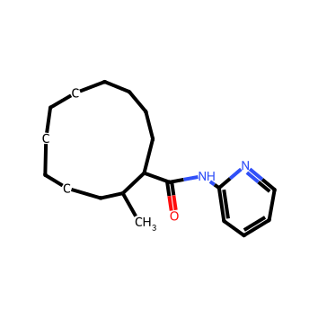 CC1CCCCCCCCCCC1C(=O)Nc1ccccn1